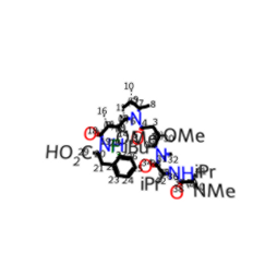 CCC(C)C([C@@H](CC(=O)N1C(C)[C@@H](C)C[C@H]1[C@H](OC)[C@@H](C)C(=O)NC(Cc1ccccc1F)C(=O)O)OC)N(C)C(=O)[C@@H](NC(=O)[C@@H](NC)C(C)C)C(C)C